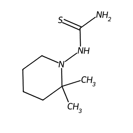 CC1(C)CCCCN1NC(N)=S